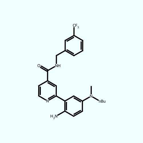 CCCCN(C)c1ccc(N)c(-c2cc(C(=O)NCc3cccc(C(F)(F)F)c3)ccn2)c1